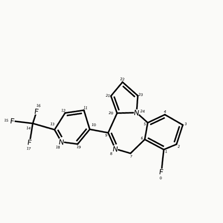 Fc1cccc2c1CN=C(c1ccc(C(F)(F)F)nc1)c1cccn1-2